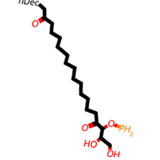 CCCCCCCCCCCC(=O)CCCCCCCCCCCCCC(=O)C(OP)C(O)CO